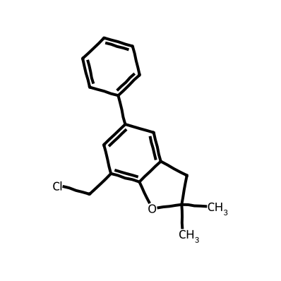 CC1(C)Cc2cc(-c3ccccc3)cc(CCl)c2O1